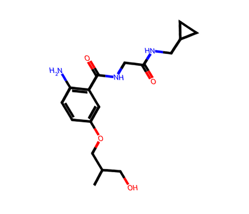 CC(CO)COc1ccc(N)c(C(=O)NCC(=O)NCC2CC2)c1